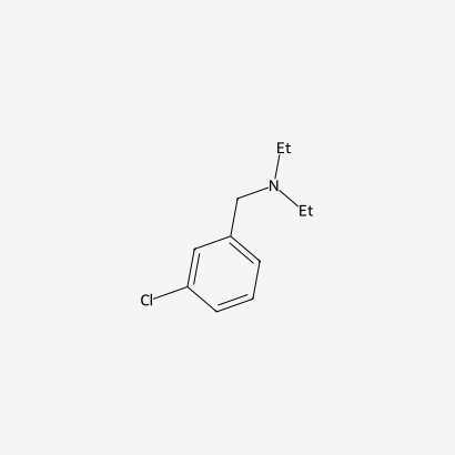 CCN(CC)Cc1cccc(Cl)c1